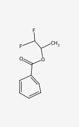 CC(OC(=O)c1ccccc1)C(F)F